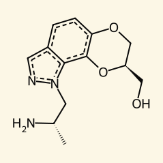 C[C@H](N)Cn1ncc2ccc3c(c21)O[C@H](CO)CO3